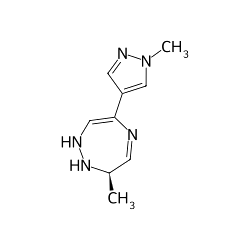 C[C@@H]1C=NC(c2cnn(C)c2)=CNN1